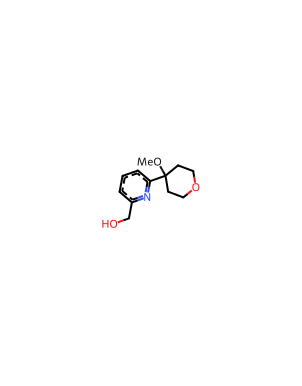 COC1(c2cccc(CO)n2)CCOCC1